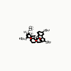 [CH2]=[Zr+2]([C]1=CC(C(C)(C)C)=CC1C)([c]1ccccc1)([c]1ccccc1)[CH]1c2ccc(C(C)(C)C)cc2-c2cc(C(C)(C)C)ccc21.[Cl-].[Cl-]